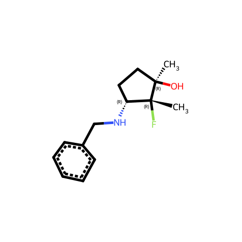 C[C@@]1(O)CC[C@@H](NCc2ccccc2)[C@@]1(C)F